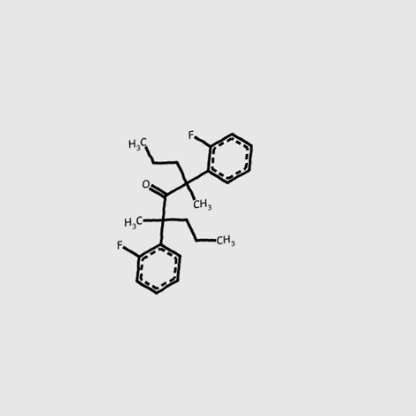 CCCC(C)(C(=O)C(C)(CCC)c1ccccc1F)c1ccccc1F